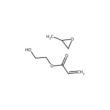 C=CC(=O)OCCO.CC1CO1